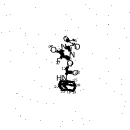 COc1nc(S(C)(=O)=O)nc(OCC(=O)NC23CC4CC(CC(C4)C2)C3)c1F